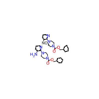 Nc1cccnc1N1CCN(C(=O)OCc2ccccc2)CC1.O=C(OCc1ccccc1)N1CCN(c2ncccc2[N+](=O)[O-])CC1